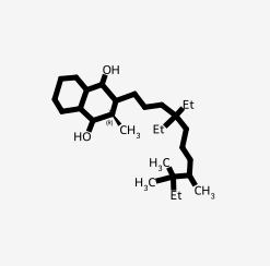 CCC(CC)(CCCC1C(O)C2CCCCC2C(O)[C@@H]1C)CCCC(C)C(C)(C)CC